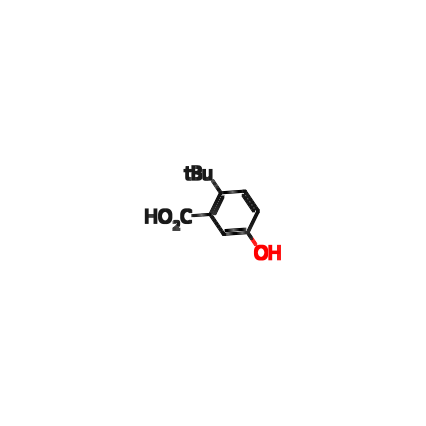 CC(C)(C)c1ccc(O)cc1C(=O)O